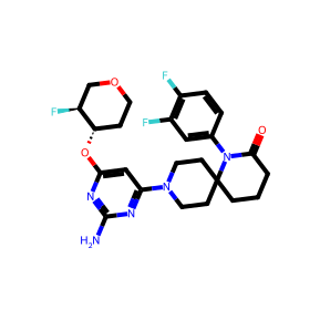 Nc1nc(O[C@H]2CCOC[C@@H]2F)cc(N2CCC3(CCCC(=O)N3c3ccc(F)c(F)c3)CC2)n1